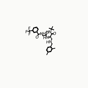 Cc1ccc(CNC[C@@H](NC(=O)CNC(=O)c2cccc(C(F)(F)F)c2)C(=O)NC(C)(C)C)c(C)c1